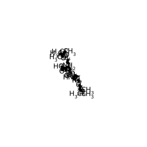 CC1(C)OB(CCC[C@@H]2CN(S(=O)(=O)Nc3ccn(COCC[Si](C)(C)C)n3)C[C@]2(N)C(=O)O)OC1(C)C